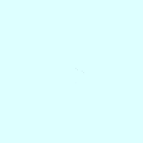 COC(=O)c1ccc(-c2nn(-c3ccccc3F)c3cc[se]c23)o1